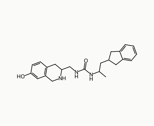 CC(CC1Cc2ccccc2C1)NC(=O)NCC1Cc2ccc(O)cc2CN1